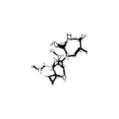 COC[C@@]12OC(n3cc(C)c(=O)[nH]c3=O)C(OC13CC3)C2OC